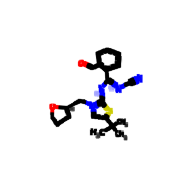 CC(C)(C)c1cn(C[C@H]2CCCO2)/c(=N/C(=N/C#N)c2ccccc2C=O)s1